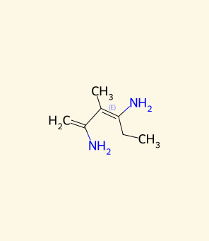 C=C(N)/C(C)=C(/N)CC